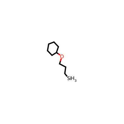 [SiH3]CCCOC1CCCCC1